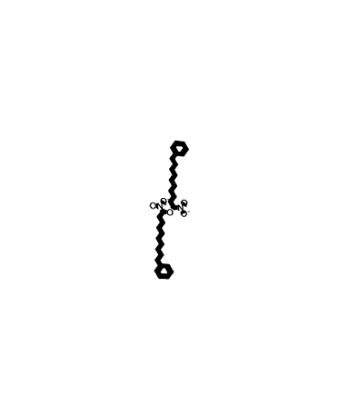 O=[N+]([O-])C(CCCCCCCCCc1ccccc1)OC(CCCCCCCCCc1ccccc1)[N+](=O)[O-]